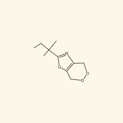 CCC(C)(C)c1nc2c(o1)COOC2